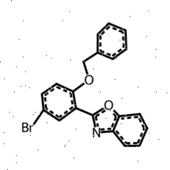 Brc1ccc(OCc2ccccc2)c(-c2nc3ccccc3o2)c1